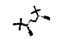 C#C[P@@](CC[P@](C#C)C(C)(C)C)C(C)(C)C